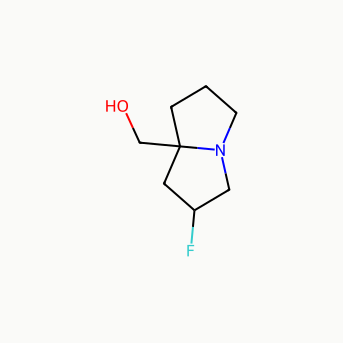 OCC12CCCN1CC(F)C2